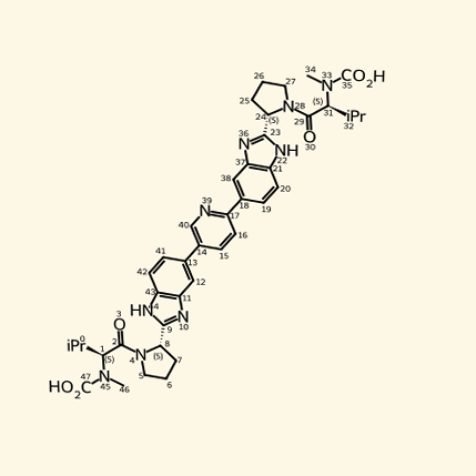 CC(C)[C@@H](C(=O)N1CCC[C@H]1c1nc2cc(-c3ccc(-c4ccc5[nH]c([C@@H]6CCCN6C(=O)[C@H](C(C)C)N(C)C(=O)O)nc5c4)nc3)ccc2[nH]1)N(C)C(=O)O